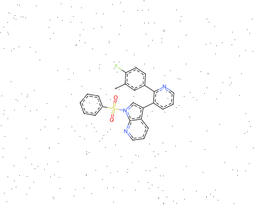 Cc1cc(-c2ncccc2-c2cn(S(=O)(=O)c3ccccc3)c3ncccc23)ccc1F